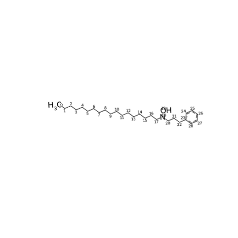 CCCCCCCCCCCCCCCCCCN(O)CCCc1ccccc1